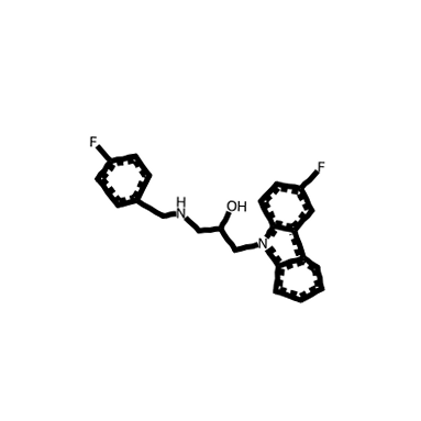 OC(CNCc1ccc(F)cc1)Cn1c2ccccc2c2cc(F)ccc21